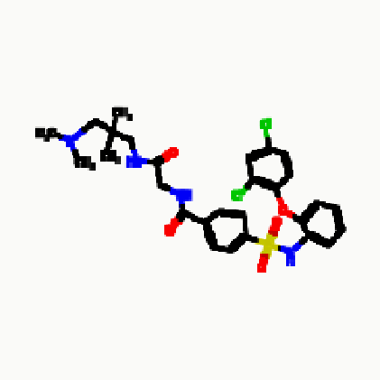 CN(C)CC(C)(C)CNC(=O)CNC(=O)c1ccc(S(=O)(=O)Nc2ccccc2Oc2ccc(Cl)cc2Cl)cc1